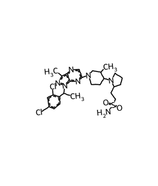 Cc1nn(C(C)c2ccc(Cl)cc2Cl)c2nc(N3CCC(N4CCCC4CCS(N)(=O)=O)C(C)C3)cnc12